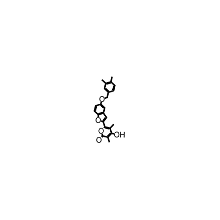 Cc1ccc(COc2ccc3oc(-c4oc(=O)c(C)c(O)c4C)cc3c2)cc1C